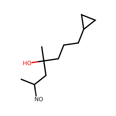 CC(CC(C)(O)CCCC1CC1)N=O